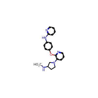 O=C(O)NC1CCN(c2cccnc2Oc2ccc(Nc3ccccn3)cc2)C1